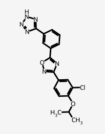 CC(C)Oc1ccc(-c2noc(-c3cccc(-c4nn[nH]n4)c3)n2)cc1Cl